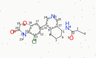 CCC(=O)N[C@@H]1CCCc2c(-c3cc(Cl)c4c(c3)OCC(=O)N4C)cncc21